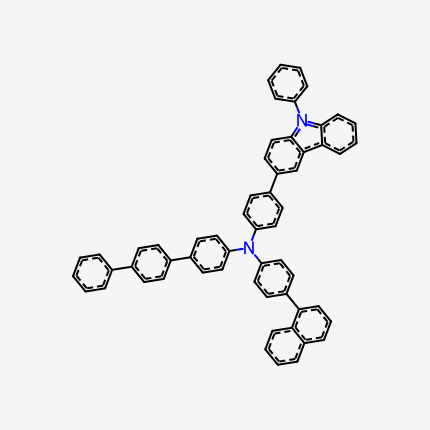 c1ccc(-c2ccc(-c3ccc(N(c4ccc(-c5ccc6c(c5)c5ccccc5n6-c5ccccc5)cc4)c4ccc(-c5cccc6ccccc56)cc4)cc3)cc2)cc1